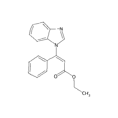 CCOC(=O)C=C(c1ccccc1)n1cnc2ccccc21